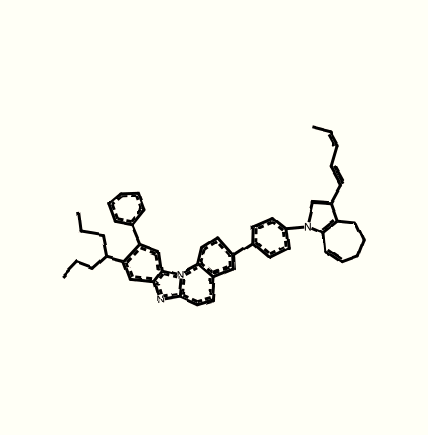 C/C=C\C=CC1CN(c2ccc(-c3ccc4c(ccc5nc6cc(C(CCC)CCC)c(-c7ccccc7)cc6n54)c3)cc2)C2=C1CCCC=C2